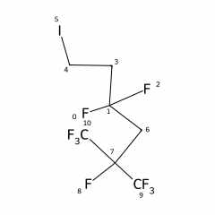 FC(F)(CCI)CC(F)(C(F)(F)F)C(F)(F)F